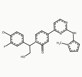 Cn1cccc1Nc1nccc(-c2ccn(C(CO)c3ccc(Cl)c(F)c3)c(=O)c2)n1